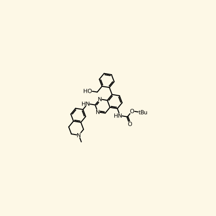 CN1CCc2ccc(Nc3ncc4c(NC(=O)OC(C)(C)C)ccc(-c5ccccc5CO)c4n3)cc2C1